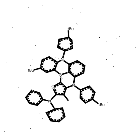 Cc1c(N(c2ccccc2)c2ccccc2)sc2c1N(c1ccc(C(C)(C)C)cc1)c1cccc3c1B2c1cc(C(C)(C)C)ccc1N3c1ccc(C(C)(C)C)cc1